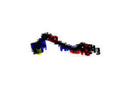 CC1(C)OCc2cc([C@@H](O)CNCCCCCCOCCOCc3cccc(NCc4cn5c(n4)SCC5)c3)ccc2O1